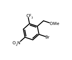 COCc1c(Br)cc([N+](=O)[O-])cc1C(F)(F)F